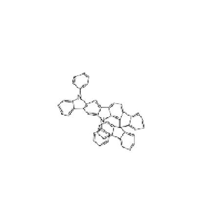 c1ccc(-n2c3ccccc3c3cc4c(cc32)c2ccc3c(c2n4-c2ccccc2)C2(c4ccccc4-c4ccccc42)c2ccccc2-3)cc1